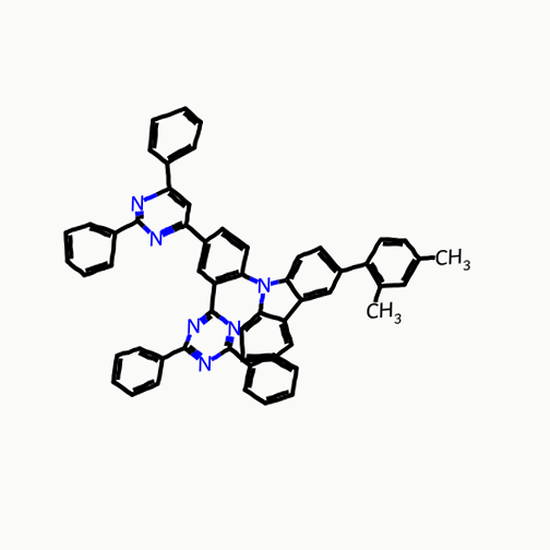 Cc1ccc(-c2ccc3c(c2)c2ccccc2n3-c2ccc(-c3cc(-c4ccccc4)nc(-c4ccccc4)n3)cc2-c2nc(-c3ccccc3)nc(-c3ccccc3)n2)c(C)c1